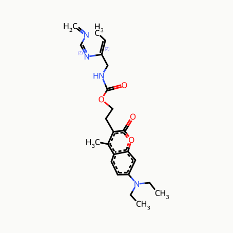 C=N/C=N\C(=C/C)CNC(=O)OCCc1c(C)c2ccc(N(CC)CC)cc2oc1=O